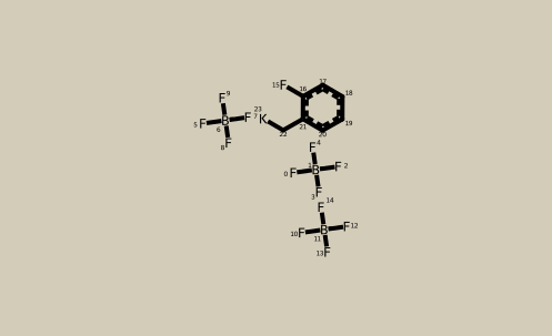 F[B-](F)(F)F.F[B-](F)(F)F.F[B-](F)(F)F.Fc1ccccc1[CH2][K]